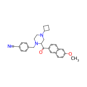 COc1ccc2cc(C(=O)C3CN(C4CCC4)CCN3Cc3ccc(C#N)cc3)ccc2c1